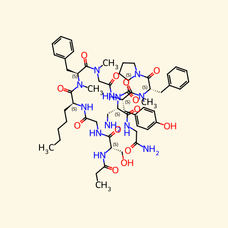 CCCCC[C@H](NC(=O)CNC(=O)[C@H](CO)NC(=O)CC)C(=O)N(C)[C@@H](Cc1ccccc1)C(=O)N(C)CC(=O)N[C@@H](Cc1ccc(O)cc1)C(=O)N(C)[C@@H](Cc1ccccc1)C(=O)N1CCC[C@H]1C(=O)N[C@@H](CN)C(=O)NCC(N)=O